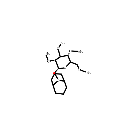 CCCCOCC1O[C@@H](CB2C3CCCC2CCC3)[C@@H](OCCCC)C(OCCCC)[C@@H]1OCCCC